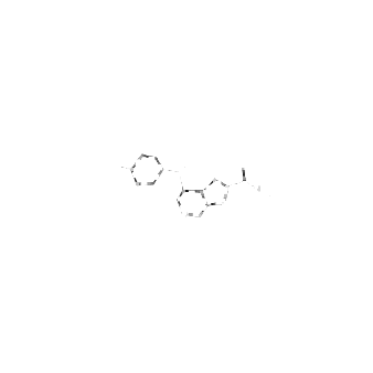 Cc1ccc([S+]([O-])c2cncc3sc(C(N)=O)cc23)cc1